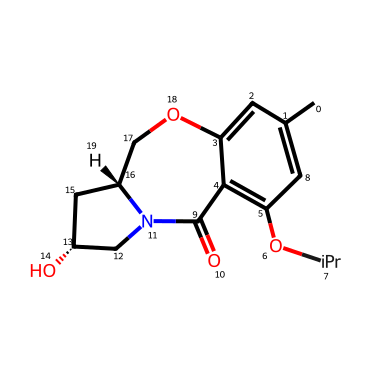 Cc1cc2c(c(OC(C)C)c1)C(=O)N1C[C@H](O)C[C@@H]1CO2